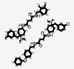 CN(C)C1(Cc2cccc(Cl)c2)CCC(NC(=O)CCC(=O)NCCc2ccc(Oc3ccccc3)cc2)CC1.Cc1cccc(CC2(N(C)C)CCC(NC(=O)CCC(=O)NCc3cccc(C)c3C)CC2)c1